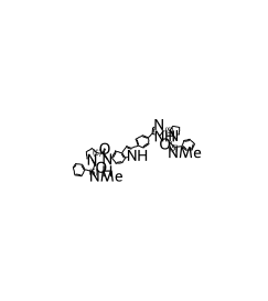 CN[C@H](C(=O)N1CCC[C@H]1C(=O)Nc1ccc2[nH]c(-c3ccc(-c4cnc([C@@H]5CCCN5C(=O)[C@@H](NC)c5ccccc5)[nH]4)cc3)cc2c1)c1ccccc1